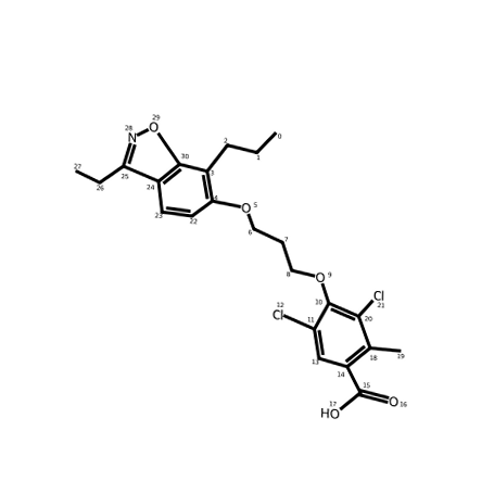 CCCc1c(OCCCOc2c(Cl)cc(C(=O)O)c(C)c2Cl)ccc2c(CC)noc12